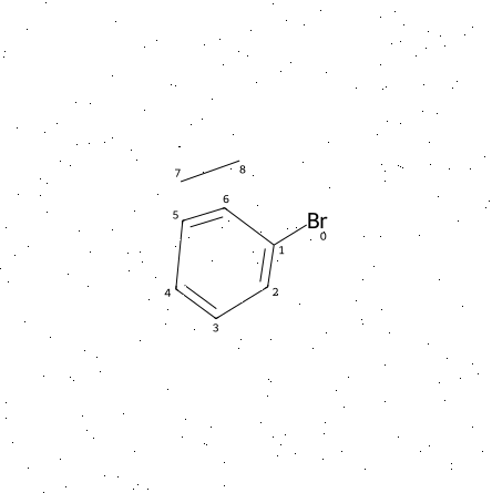 Brc1ccccc1.CC